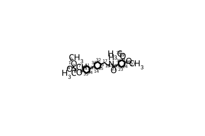 CCOC(=O)C(C)(C)Oc1ccc(-c2ccc(CCNC(=O)c3ccc(OC)c(OC)c3)cc2)cc1